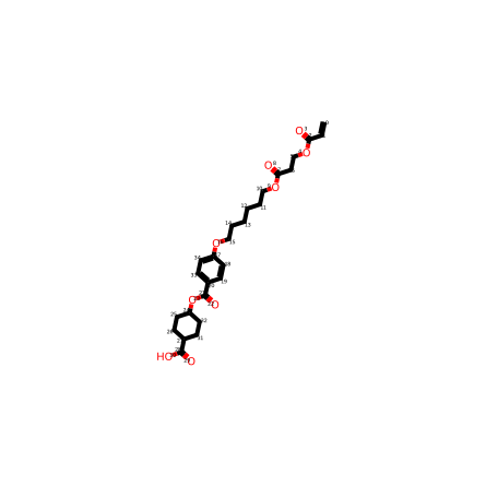 C=CC(=O)OCCC(=O)OCCCCCCOc1ccc(C(=O)OC2CCC(C(=O)O)CC2)cc1